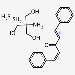 NC(CO)(CO)CO.O=C(/C=C\c1ccccc1)/C=C/c1ccccc1.S.S